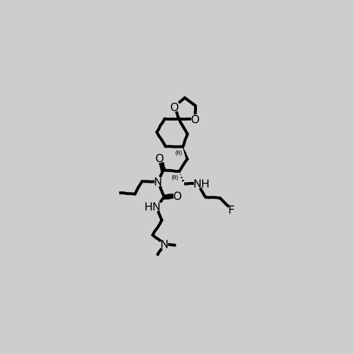 CCCN(C(=O)NCCN(C)C)C(=O)[C@@H](CNCCF)C[C@H]1CCCC2(C1)OCCO2